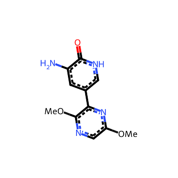 COc1cnc(OC)c(-c2c[nH]c(=O)c(N)c2)n1